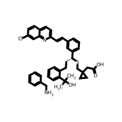 CC(C)(O)c1ccccc1CC[C@@H](SCC1(CC(=O)O)CC1)c1cccc(/C=C/c2ccc3ccc(Cl)cc3n2)c1.NCc1ccccc1